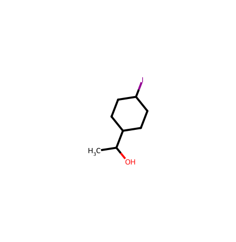 CC(O)C1CCC(I)CC1